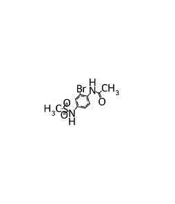 CC(=O)Nc1ccc(NS(C)(=O)=O)cc1Br